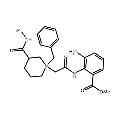 COC(=O)c1cccc(C)c1NC(=O)C[N+]1(Cc2ccccc2)CCCC(C(=O)NC(C)C)C1